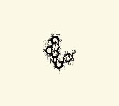 CC1=Cc2c(nc3cccc(N4CCN(C)CC4)n23)[C@H]2CCC[C@@H](c3ncccc3C)N12